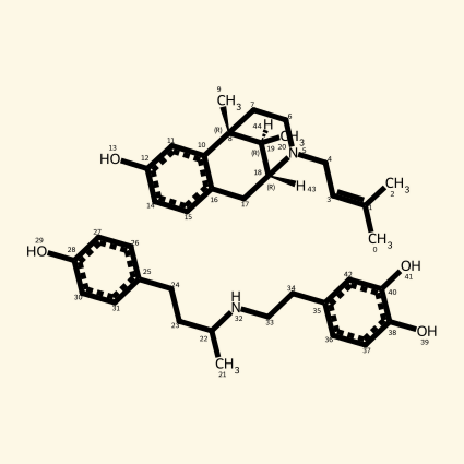 CC(C)=CCN1CC[C@@]2(C)c3cc(O)ccc3C[C@@H]1[C@@H]2C.CC(CCc1ccc(O)cc1)NCCc1ccc(O)c(O)c1